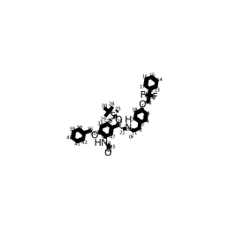 C[C@@H](Cc1ccc(OCC(F)(F)c2ccccc2)cc1)NC[C@@H](O[Si](C)(C)C(C)(C)C)c1ccc(OCc2ccccc2)c(NC=O)c1